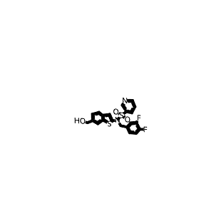 O=S(=O)(c1cccnc1)N(Cc1ccc(F)c(F)c1)c1cc2ccc(CO)cc2s1